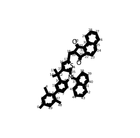 Cc1cc(C)c(-c2ccc3c(c2)C(C)(C)c2cc(/C=C4\C(=O)c5ccc6ccccc6c5C4=O)sc2N3c2cccc3ccccc23)c(C)c1